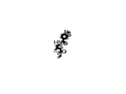 CCOC(=O)c1sc(NC(=O)c2ccc3ncsc3c2)cc1C